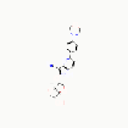 N#Cc1c(O[C@@H]2CO[C@H]3[C@@H]2OC[C@H]3O)[nH]c2cc(F)c(-c3ccc(N4CCOCC4)cc3)nc12